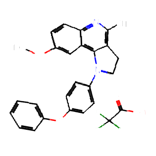 COc1ccc2nc(C)c3c(c2c1)N(c1ccc(Oc2ccccc2)cc1)CC3.O=C(O)C(F)(F)F